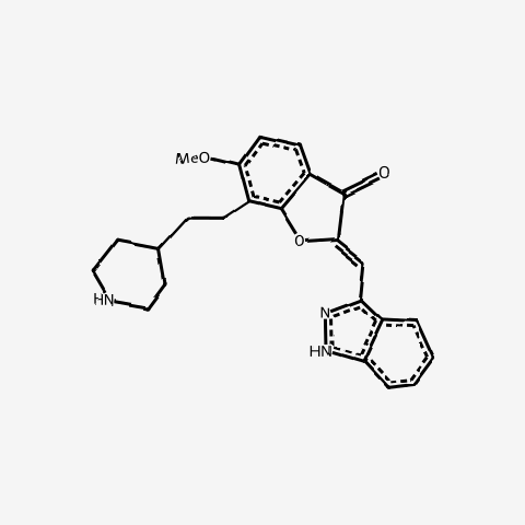 COc1ccc2c(c1CCC1CCNCC1)OC(=Cc1n[nH]c3ccccc13)C2=O